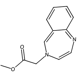 COC(=O)CN1C=CN=c2ccccc2=C1